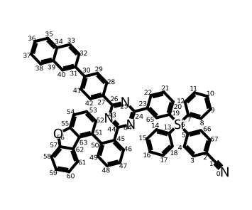 N#Cc1ccc([Si](c2ccccc2)(c2ccccc2)c2cccc(-c3nc(-c4ccc(-c5ccc6ccccc6c5)cc4)nc(-c4ccccc4-c4cccc5oc6ccccc6c45)n3)c2)cc1